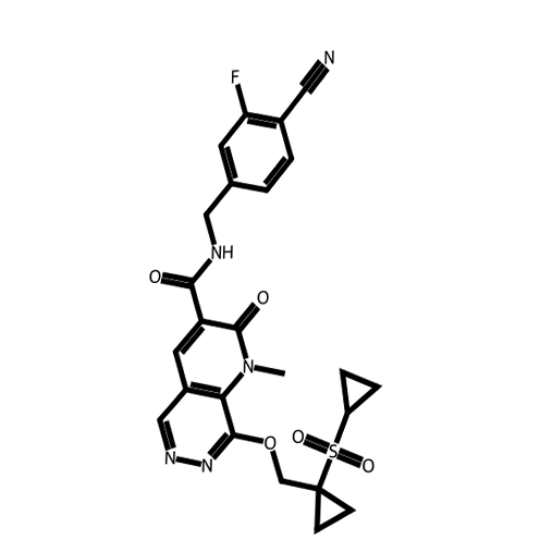 Cn1c(=O)c(C(=O)NCc2ccc(C#N)c(F)c2)cc2cnnc(OCC3(S(=O)(=O)C4CC4)CC3)c21